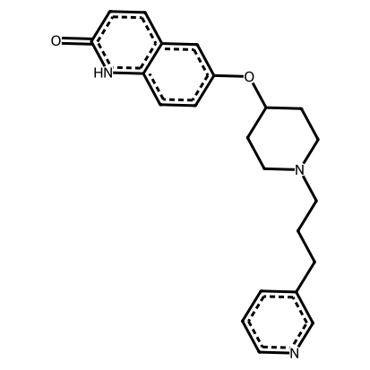 O=c1ccc2cc(OC3CCN(CCCc4cccnc4)CC3)ccc2[nH]1